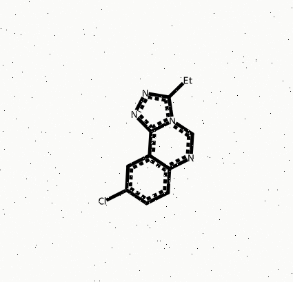 CCc1nnc2c3cc(Cl)ccc3ncn12